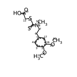 COc1ccc(CCN(C)C(=S)SCC(=O)O)cc1OC